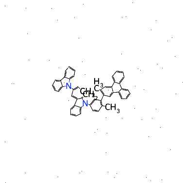 C=c1/c(=C\C(=C/C)n2c3ccccc3c3ccccc32)c2ccccc2n1-c1ccc(C)c(-c2cc3c4ccccc4c4ccccc4c3cc2C)c1